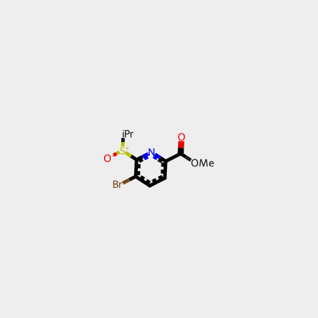 COC(=O)c1ccc(Br)c([S+]([O-])C(C)C)n1